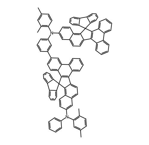 Cc1ccc(N(c2cccc(-c3ccc4c5c(c6ccccc6c4c3)-c3ccc4cc(N(c6ccccc6)c6cc(C)ccc6C)ccc4c3C53c4ccccc4-c4ccccc43)c2)c2ccc3c4c(ccc3c2)-c2c(c3ccccc3c3ccccc23)C42c3ccccc3-c3ccccc32)c(C)c1